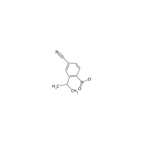 [CH2]C(C)c1cc(C#N)ccc1[N+](=O)[O-]